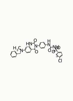 CN(Cc1ccccc1)c1ccc2c(=O)n(-c3ccc(NC(=O)NS(=O)(=O)c4ccc(Cl)s4)cc3)c(=O)[nH]c2c1